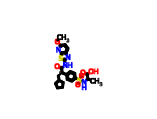 COc1ccc2nc(NC(=O)[C@H](CC3CCCC3)c3ccc(S(=O)(=O)NC(C)C(=O)O)cc3)sc2n1